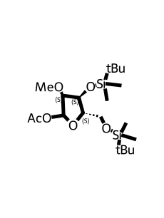 CO[C@@H]1C(OC(C)=O)O[C@@H](CO[Si](C)(C)C(C)(C)C)[C@@H]1O[Si](C)(C)C(C)(C)C